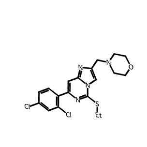 CCSc1nc(-c2ccc(Cl)cc2Cl)cc2nc(CN3CCOCC3)cn12